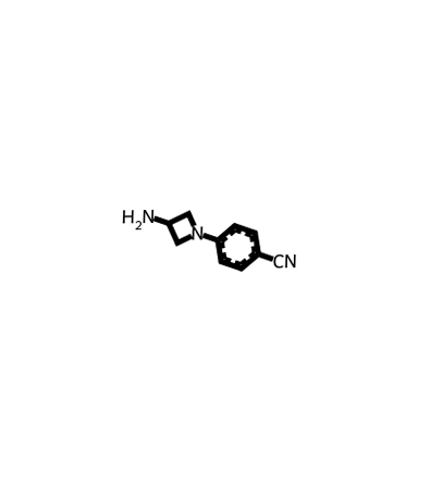 N#Cc1ccc(N2CC(N)C2)cc1